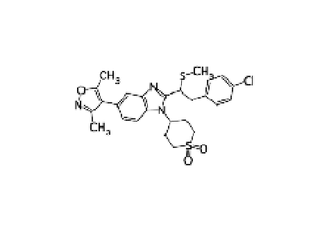 CSC(Cc1ccc(Cl)cc1)c1nc2cc(-c3c(C)noc3C)ccc2n1C1CCS(=O)(=O)CC1